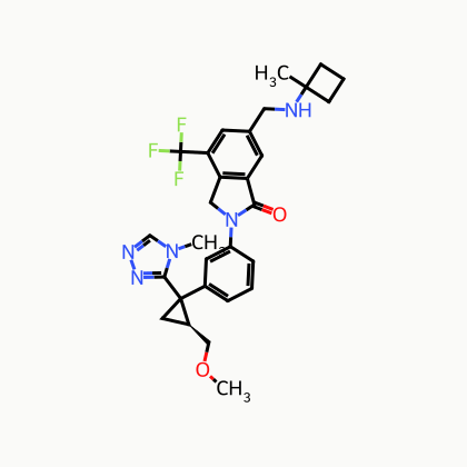 COC[C@H]1CC1(c1cccc(N2Cc3c(cc(CNC4(C)CCC4)cc3C(F)(F)F)C2=O)c1)c1nncn1C